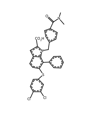 CN(C)C(=O)c1ccc(Cn2c(C(=O)O)cc3ccc(Sc4ccc(Cl)c(Cl)c4)c(-c4ccccc4)c32)cc1